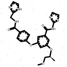 COC[C@H](C)Oc1cc(Oc2ccc(C(=O)NCc3ncc[nH]3)cc2)cc(C(=O)Nc2nccs2)c1